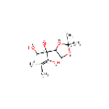 CC(C)=C(O)C(O)(CO)C1COC(C)(C)O1